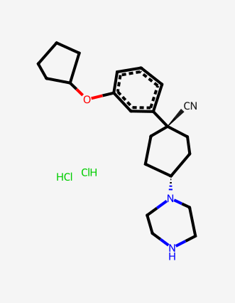 Cl.Cl.N#C[C@]1(c2cccc(OC3CCCC3)c2)CC[C@@H](N2CCNCC2)CC1